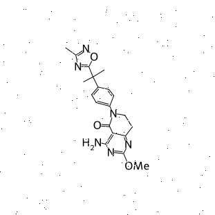 COc1nc(N)c2c(n1)CCN(c1ccc(C(C)(C)c3nc(C)no3)cc1)C2=O